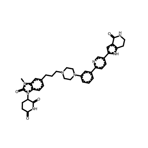 Cn1c(=O)n(C2CCC(=O)NC2=O)c2ccc(CCCN3CCN(c4cccc(-c5ccc(-c6cc7c([nH]6)CCNC7=O)cn5)c4)CC3)cc21